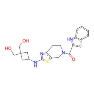 O=C(c1cc2ccccc2[nH]1)N1CCc2nc(NC3CC(CO)(CO)C3)sc2C1